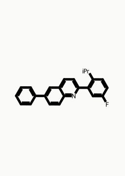 CC(C)c1ccc(F)cc1-c1ccc2cc(-c3ccccc3)ccc2n1